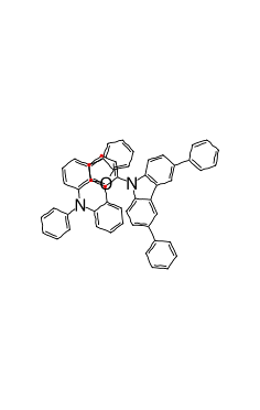 c1ccc(-c2ccc3c(c2)c2cc(-c4ccccc4)ccc2n3-c2ccccc2-c2ccccc2N(c2ccccc2)c2cccc3c2oc2ccccc23)cc1